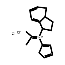 C[C](C)=[Zr+2]([C]1=CC=CC1)[CH]1CCC2CC=CC=C21.[Cl-].[Cl-]